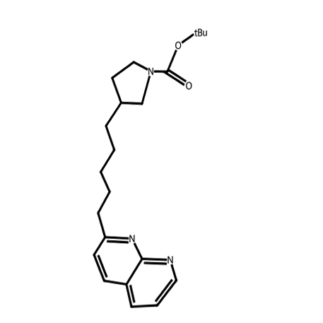 CC(C)(C)OC(=O)N1CCC(CCCCCc2ccc3cccnc3n2)C1